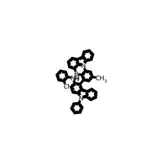 Cc1cc(-c2c(Nc3ccccc3C)ccc3c2c2ccccc2n3-c2ccccc2)c2c(c1)-n1c3ccccc3c3cccc(c31)B2